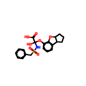 O=C(O)C(O)(NS(=O)(=O)Cc1ccccc1)Oc1cccc2c1OC1CCCC21